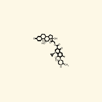 COc1c(N2CCNC(C)C2)c(F)cc2c(=O)c(C(=O)OCC(=O)[C@@]3(O)CCC4C5CCC6=CC(=O)C=C[C@]6(C)C5[C@@H](O)C[C@@]43C)cn(C3CC3)c12